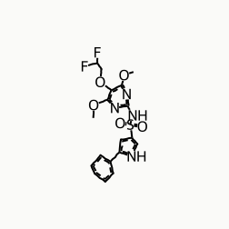 COc1nc(NS(=O)(=O)c2c[nH]c(-c3ccccc3)c2)nc(OC)c1OCC(F)F